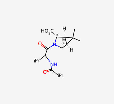 CC(C)C(=O)NC(C(=O)N1C[C@H]2[C@@H]([C@H]1C(=O)O)C2(C)C)C(C)C